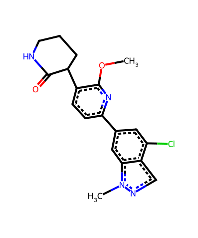 COc1nc(-c2cc(Cl)c3cnn(C)c3c2)ccc1C1CCCNC1=O